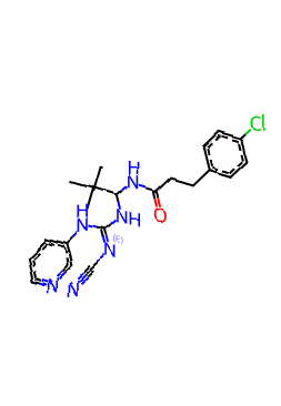 CC(C)(C)C(NC(=O)CCc1ccc(Cl)cc1)N/C(=N/C#N)Nc1cccnc1